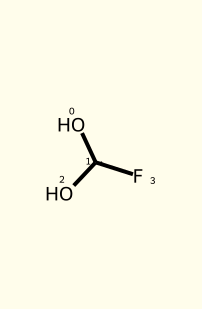 O[C](O)F